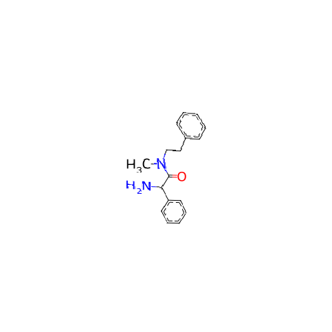 CN(CCc1ccccc1)C(=O)C(N)c1ccccc1